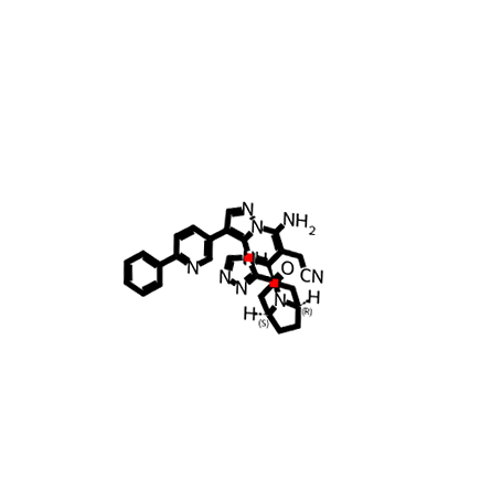 N#CCc1c([C@H]2C[C@H]3CC[C@@H](C2)N3C(=O)c2nnc[nH]2)nc2c(-c3ccc(-c4ccccc4)nc3)cnn2c1N